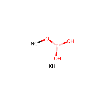 N#COB(O)O.[KH]